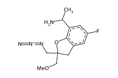 COCC1(CN=[N+]=[N-])Cc2cc(F)cc(C(C)N)c2O1